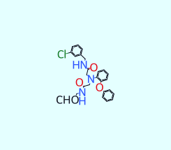 O=CCNC(=O)CN(CC(=O)NCc1cccc(Cl)c1)c1ccccc1Oc1ccccc1